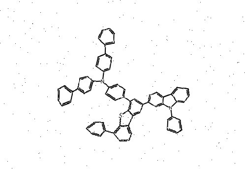 c1ccc(-c2ccc(N(c3ccc(-c4ccccc4)cc3)c3ccc(-c4cc(-c5ccc6c7ccccc7n(-c7ccccc7)c6c5)cc5c4sc4c(-c6ccccc6)cccc45)cc3)cc2)cc1